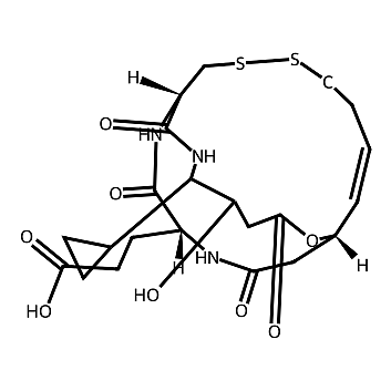 O=C(O)CC[C@H]1NC(=O)C[C@H]2C=CCCSSC[C@@H](NC1=O)C(=O)NC(C1CC1)C(O)CC(=O)O2